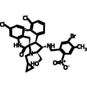 Cc1cc([N+](=O)[O-])c(CN[C@@H]2[C@H](CO)N(CC3CC3)[C@]3(Cc4ccc(Cl)cc4NC3=O)[C@H]2c2cccc(Cl)c2F)cc1Br